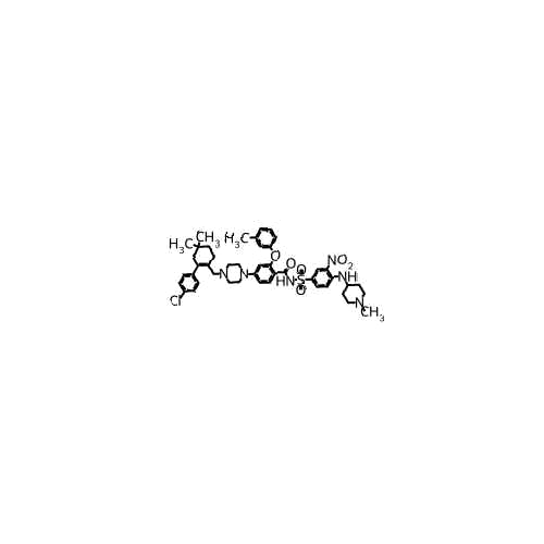 Cc1cccc(Oc2cc(N3CCN(CC4=C(c5ccc(Cl)cc5)CC(C)(C)CC4)CC3)ccc2C(=O)NS(=O)(=O)c2ccc(NC3CCN(C)CC3)c([N+](=O)[O-])c2)c1